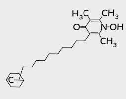 Cc1c(C)n(O)c(C)c(CCCCCCCCCCC2CC3CCC2CC3)c1=O